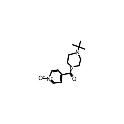 CC(C)(C)N1CCN(C(=O)c2cc[n+]([O-])cc2)CC1